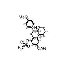 COc1ccc([C@@H]2Cc3c(OS(=O)(=O)C(F)(F)F)cc(OC)cc3[C@@H]3CCCC[C@H]23)cc1